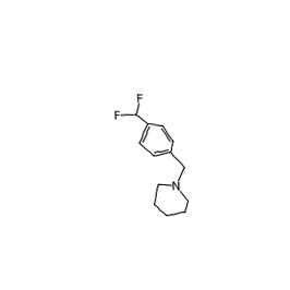 FC(F)c1ccc(CN2CCCCC2)cc1